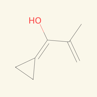 C=C(C)C(O)=C1CC1